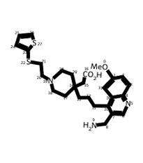 COc1ccc2ncc(CN)c(CCCC3(CC(=O)O)CCN(CCSc4cccs4)CC3)c2c1